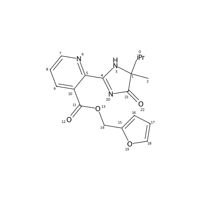 CC(C)C1(C)NC(c2ncccc2C(=O)OCc2ccco2)=NC1=O